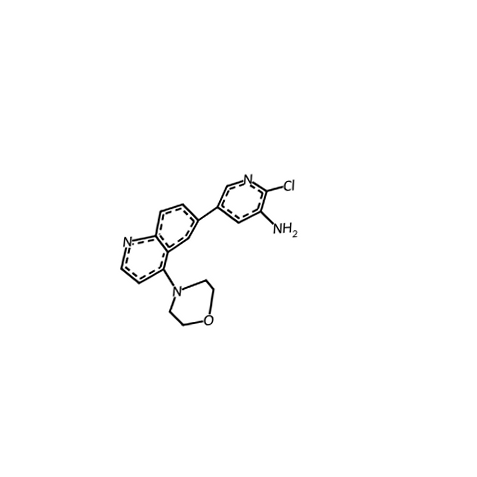 Nc1cc(-c2ccc3nccc(N4CCOCC4)c3c2)cnc1Cl